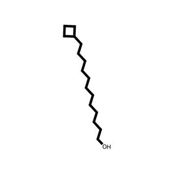 OCCCCCCCCCCCCC1CCC1